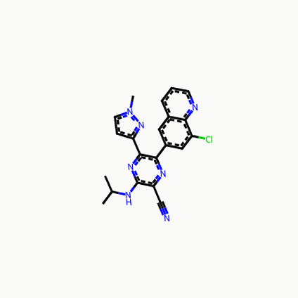 CC(C)Nc1nc(-c2ccn(C)n2)c(-c2cc(Cl)c3ncccc3c2)nc1C#N